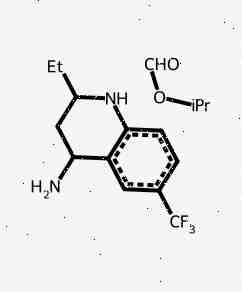 CC(C)OC=O.CCC1CC(N)c2cc(C(F)(F)F)ccc2N1